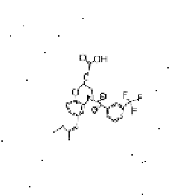 CCC(C)=Cc1ccc2c(c1)N(S(=O)(=O)c1cccc(C(F)(F)F)c1)CC(CCC(=O)O)O2